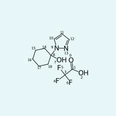 O=C(O)C(F)(F)F.OC1(n2cccn2)CCCCC1